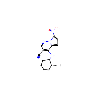 C[C@H]1CCCC[C@H]1Nc1c(C#N)cnn2c([N+](=O)[O-])ccc12